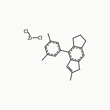 CC1=Cc2c(cc3c(c2-c2cc(C)cc(C)c2)CCC3)[CH]1.[Cl][Zr][Cl]